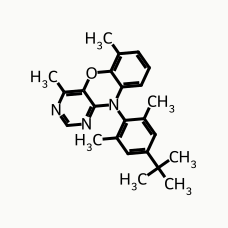 Cc1cccc2c1Oc1c(C)ncnc1N2c1c(C)cc(C(C)(C)C)cc1C